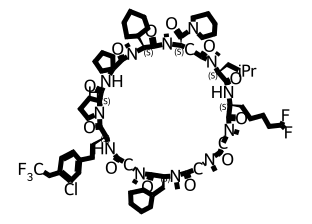 CC(C)C[C@H]1C(=O)N[C@@H](CCCCC(F)F)C(=O)N(C)CC(=O)N(C)CC(=O)N(C)[C@@H](CC2CCCCC2)C(=O)N(C)CC(=O)N[C@@H](CCc2ccc(CC(F)(F)F)c(Cl)c2)C(=O)N2CCC[C@H]2C(=O)NC2(CCCC2)C(=O)N(C)[C@@H](C2CCCCC2)C(=O)N(C)[C@H](C(=O)N2CCCCC2)CC(=O)N1C